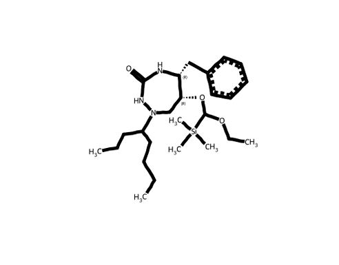 CCCCC(CCC)N1C[C@@H](OC(OCC)[Si](C)(C)C)[C@@H](Cc2ccccc2)NC(=O)N1